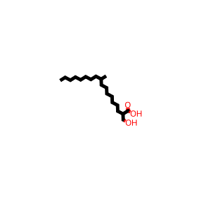 CCCCCCCCC(C)CCCCCCCC(CO)C(=O)O